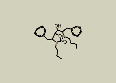 CCCCN1C(Cc2ccccc2)C(O)C2OP1(=O)N(CCCC)C2Cc1ccccc1